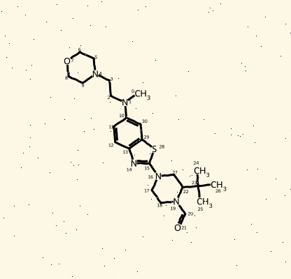 CN(CCN1CCOCC1)c1ccc2nc(N3CCN([C]=O)C(C(C)(C)C)C3)sc2c1